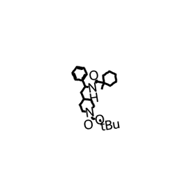 CC(C)(C)OC(=O)N1CCC(CC(NC(=O)C2(C)CCCCC2)c2ccccc2)CC1